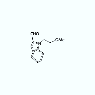 COCCn1c(C=O)cc2ccccc21